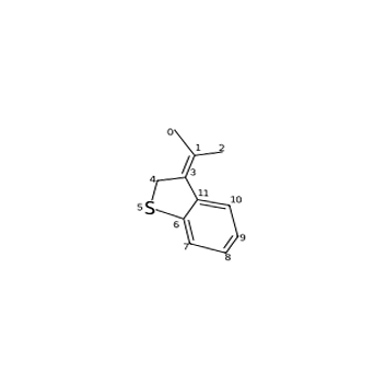 CC(C)=C1CSc2ccccc21